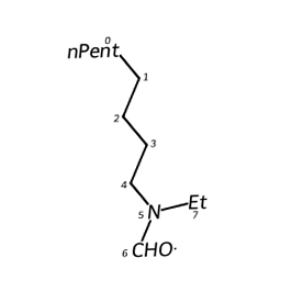 CCCCCCCCCN([C]=O)CC